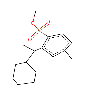 COS(=O)(=O)c1ccc(C)cc1C(C)C1CCCCC1